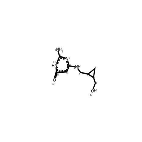 Nc1nc(NCC2CC2CO)cc(=O)[nH]1